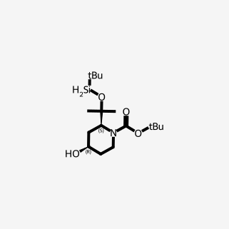 CC(C)(C)OC(=O)N1CC[C@@H](O)C[C@H]1C(C)(C)O[SiH2]C(C)(C)C